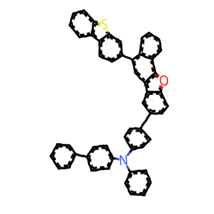 c1ccc(-c2ccc(N(c3ccccc3)c3ccc(-c4ccc5oc6c7ccccc7c(-c7ccc8c(c7)sc7ccccc78)cc6c5c4)cc3)cc2)cc1